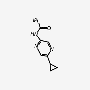 CC(C)C(=O)Nc1cnc(C2CC2)cn1